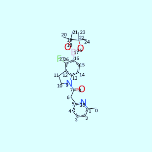 Cc1cccc(CC(=O)N2CCc3c2ccc(B2OC(C)(C)C(C)(C)O2)c3F)n1